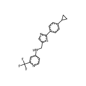 FC(F)(F)c1cc(NCc2cnc(-c3ccc(C4CC4)cc3)s2)ccn1